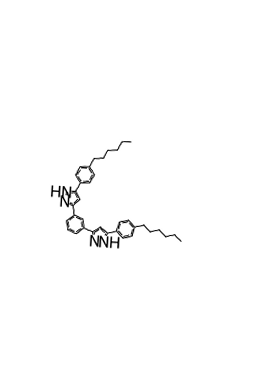 CCCCCCc1ccc(-c2cc(-c3cccc(-c4cc(-c5ccc(CCCCCC)cc5)[nH]n4)c3)n[nH]2)cc1